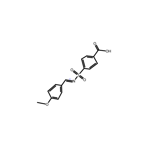 COc1ccc(/C=N/S(=O)(=O)c2ccc(C(=O)O)cc2)cc1